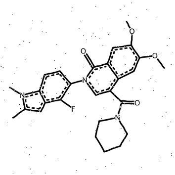 COc1cc2c(C(=O)N3CCCCC3)cn(-c3ccc4c(cc(C)n4C)c3F)c(=O)c2cc1OC